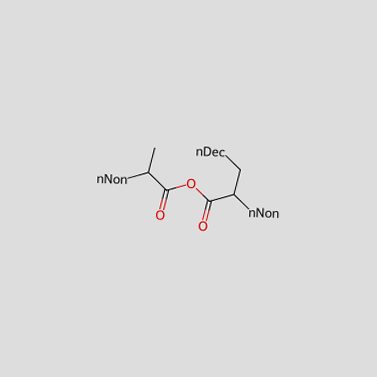 CCCCCCCCCCCC(CCCCCCCCC)C(=O)OC(=O)C(C)CCCCCCCCC